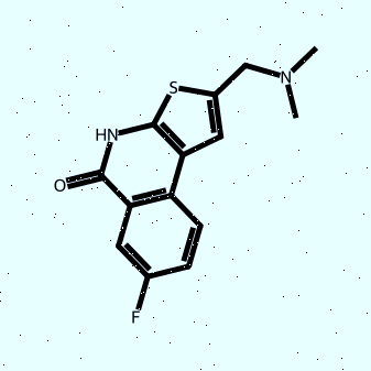 CN(C)Cc1cc2c([nH]c(=O)c3cc(F)ccc32)s1